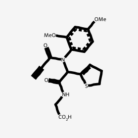 C#CC(=O)N(c1ccc(OC)cc1OC)C(C(=O)NCC(=O)O)C1=CCCS1